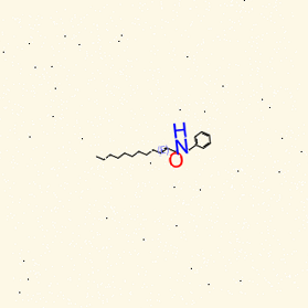 CCCCCCCCC/C=C/C(=O)NCc1ccccc1